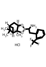 CC1(C)[C@@H]2C[C@H]3OB(C(N)Cc4ccccc4C(F)(F)F)O[C@@]3(C)[C@H]1C2.Cl